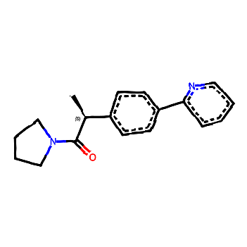 [CH2][C@H](C(=O)N1CCCC1)c1ccc(-c2ccccn2)cc1